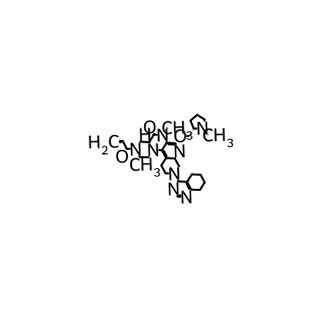 C=CC(=O)N1C[C@@H]2C(=O)N(C)c3c(OC[C@@H]4CCCN4C)nc4c(c3N2C[C@H]1C)CCN(c1ncnc2c1CCCC2)C4